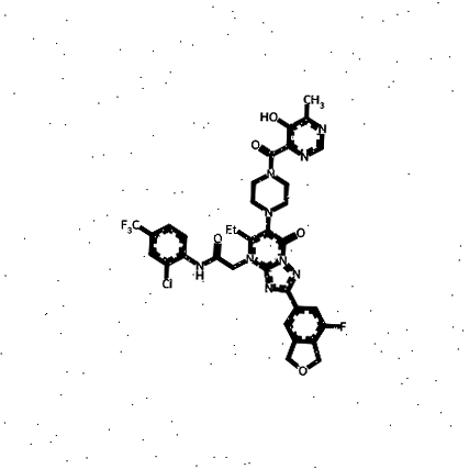 CCc1c(N2CCN(C(=O)c3ncnc(C)c3O)CC2)c(=O)n2nc(-c3cc(F)c4c(c3)COC4)nc2n1CC(=O)Nc1ccc(C(F)(F)F)cc1Cl